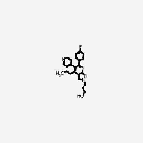 CCCc1c(-c2ccncc2)c(-c2ccc(F)cc2)nc2nn(CCCO)cc12